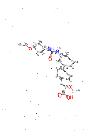 CCO/C(=C\c1ccc(-c2cccc(N(C)C(=O)Nc3ccc(OCC)cc3)c2)cc1)C(=O)O